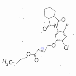 CCCCOC(=O)/C=C/COc1cc(N2C(=O)C3CCCCC3C2=O)c(F)cc1Cl